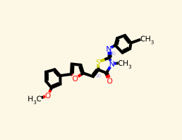 COc1cccc(-c2ccc(/C=C3\S/C(=N/c4ccc(C)cc4)N(C)C3=O)o2)c1